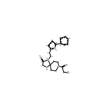 O=C(CCl)N1CCC2(CC1)SCC(=O)N2CCc1ccc(-c2ccccc2)o1